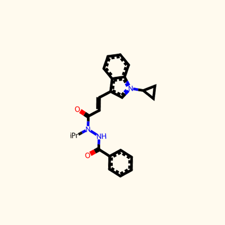 CC(C)N(NC(=O)c1ccccc1)C(=O)/C=C/c1cn(C2CC2)c2ccccc12